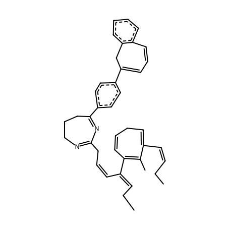 CC/C=C\C1=CCC=CC(C(/C=C\CC2=NCCCC(c3ccc(C4=CC=Cc5ccccc5C4)cc3)=N2)=C/CC)=C1C